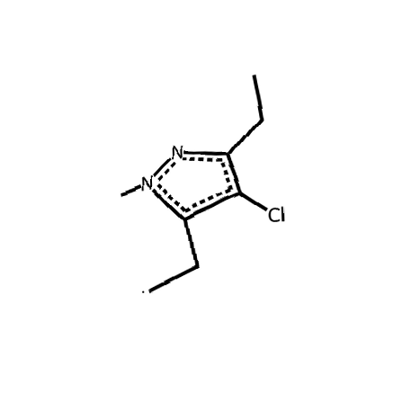 [CH2]Cc1c(Cl)c(CC)nn1C